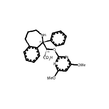 COc1cc(OC)nc(O[C@H](C(=O)O)[C@@]2(c3ccccc3)NCCCc3ccccc32)n1